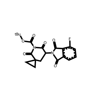 CC(C)(C)OC(=O)N1C(=O)C(N2C(=O)c3cccc(F)c3C2=O)CC2(CC2)C1=O